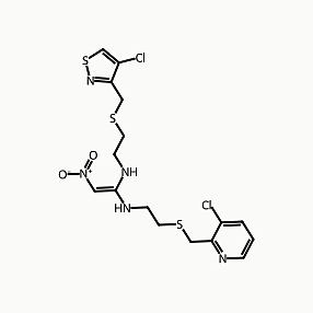 O=[N+]([O-])/C=C(/NCCSCc1ncccc1Cl)NCCSCc1nscc1Cl